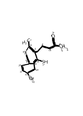 CC(=O)CCc1c(C)nc2ccc(Br)cc2c1S